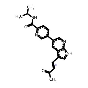 CC(=O)/C=C/c1c[nH]c2ncc(-c3ccc(C(=O)NC(C)C)nc3)cc12